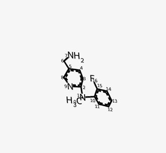 CN(c1ccc(CN)cn1)c1ccccc1F